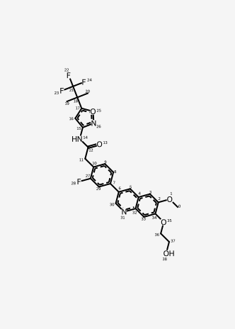 COc1cc2cc(-c3ccc(CC(=O)Nc4cc(C(C)(C)C(F)(F)F)on4)c(F)c3)cnc2cc1OCCO